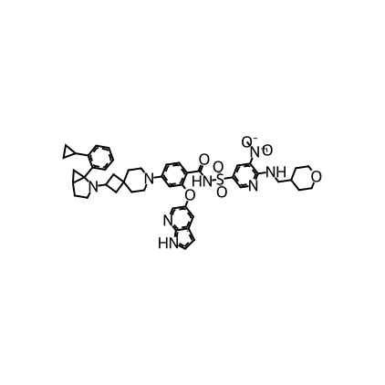 O=C(NS(=O)(=O)c1cnc(NCC2CCOCC2)c([N+](=O)[O-])c1)c1ccc(N2CCC3(CC2)CC(N2CCC4CC42c2ccccc2C2CC2)C3)cc1Oc1cnc2[nH]ccc2c1